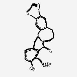 COc1c(O)ccc2c1C(=O)N1CCc3cc4c(cc3C1C2)OCO4